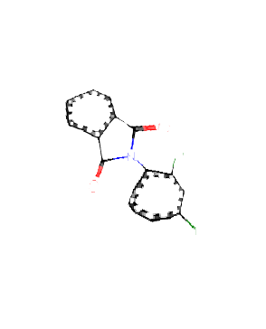 O=C1c2ccccc2C(=O)N1c1ccc(F)cc1Cl